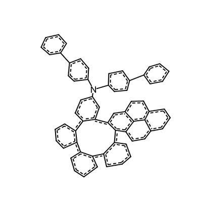 c1ccc(-c2ccc(N(c3ccc(-c4ccccc4)cc3)c3ccc4c5ccccc5c5ccccc5c5ccccc5c5c(cc6ccc7cccc8ccc5c6c78)c4c3)cc2)cc1